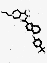 CC(NC(=O)c1ccc2c(Oc3ccc(C(F)(F)F)cc3)cccc2c1)C1CCN(CCF)CC1